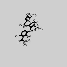 Cc1cc([C@H](NC2=NS(=O)(=O)C(S(N)(=O)=O)=C2Nc2ccc(C(F)(F)F)c(C(=O)N(C)C)c2O)C(C)C)oc1C